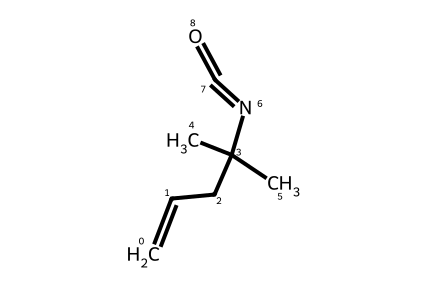 C=CCC(C)(C)N=C=O